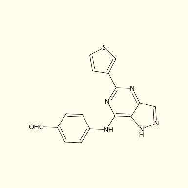 O=Cc1ccc(Nc2nc(-c3ccsc3)nc3cn[nH]c23)cc1